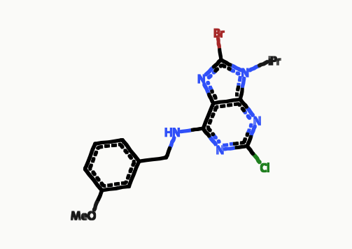 COc1cccc(CNc2nc(Cl)nc3c2nc(Br)n3C(C)C)c1